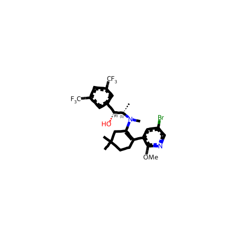 COc1ncc(Br)cc1C1=C(N(C)[C@@H](C)[C@H](O)c2cc(C(F)(F)F)cc(C(F)(F)F)c2)CC(C)(C)CC1